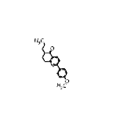 CCCC1CCc2nc(-c3ccc(OC)cc3)ccc2C1=O